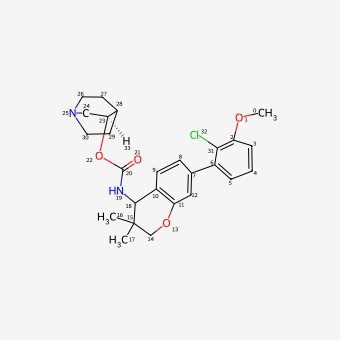 COc1cccc(-c2ccc3c(c2)OCC(C)(C)C3NC(=O)O[C@H]2CN3CCC2CC3)c1Cl